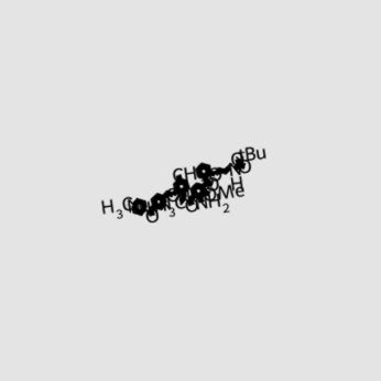 COc1c(C(=O)c2ccccc2OCCCNC(=O)OC(C)(C)C)ccc(C(=O)N(C)c2ccc(C)cc2OCc2ccc(C(=O)N3CCN(C)CC3)cn2)c1N